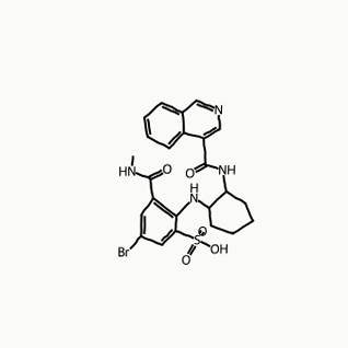 CNC(=O)c1cc(Br)cc(S(=O)(=O)O)c1NC1CCCCC1NC(=O)c1cncc2ccccc12